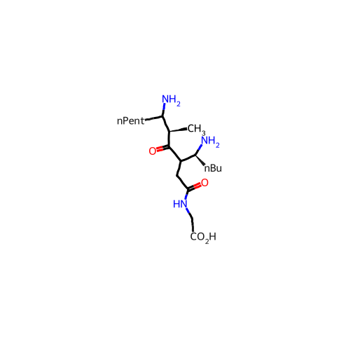 CCCCCC(N)[C@@H](C)C(=O)C(CC(=O)NCC(=O)O)[C@@H](N)CCCC